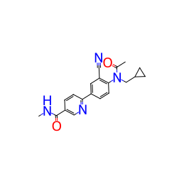 CNC(=O)c1ccc(-c2ccc(N(CC3CC3)C(C)=O)c(C#N)c2)nc1